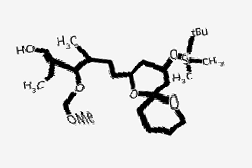 COCOC(C(C)=CO)C(C)CCC1CC(O[Si](C)(C)C(C)(C)C)CC2(CCCCO2)O1